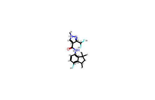 CC1CC(C)(C)c2c(NC(=O)c3cn(C)nc3C(F)F)ccc(F)c21